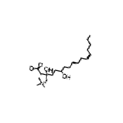 CCCC/C=C\CCCCCC(O)CCC(O)(CC(=O)[O-])C[N+](C)(C)C